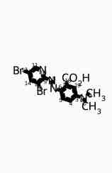 CN(C)c1ccc(/N=N/c2ncc(Br)cc2Br)c(C(=O)O)c1